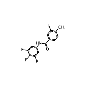 Cc1ccc(C(=O)Nc2cc(F)c(F)c(F)c2)cc1I